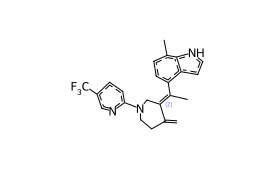 C=C1CCN(c2ccc(C(F)(F)F)cn2)C/C1=C(/C)c1ccc(C)c2[nH]ccc12